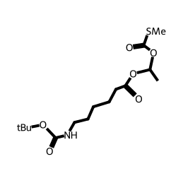 CSC(=O)OC(C)OC(=O)CCCCCNC(=O)OC(C)(C)C